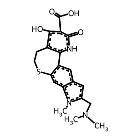 CN(C)Cc1cc2cc3c(cc2n1C)SCCc1c-3[nH]c(=O)c(C(=O)O)c1O